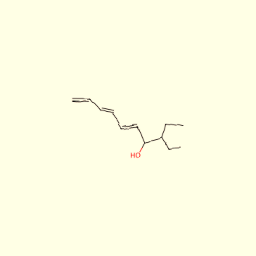 C=CC=CC=CC(O)C(CC)CC